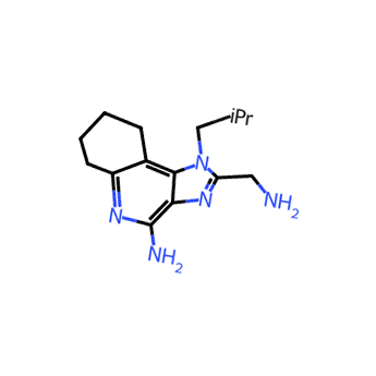 CC(C)Cn1c(CN)nc2c(N)nc3c(c21)CCCC3